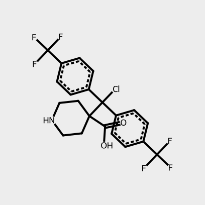 O=C(O)C1(C(Cl)(c2ccc(C(F)(F)F)cc2)c2ccc(C(F)(F)F)cc2)CCNCC1